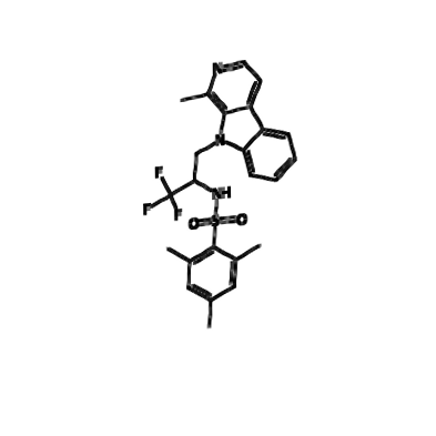 Cc1cc(C)c(S(=O)(=O)NC(Cn2c3ccccc3c3ccnc(C)c32)C(F)(F)F)c(C)c1